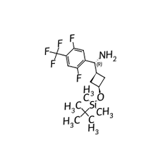 CC(C)(C)[Si](C)(C)O[C@H]1C[C@@H]([C@@H](N)c2cc(F)c(C(F)(F)F)cc2F)C1